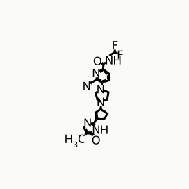 Cc1cnc(C2=CC(N3CCN(c4ccc(C(=O)NCC(F)F)nc4C#N)CC3)CC2)[nH]c1=O